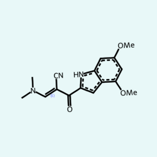 COc1cc(OC)c2cc(C(=O)/C(C#N)=C/N(C)C)[nH]c2c1